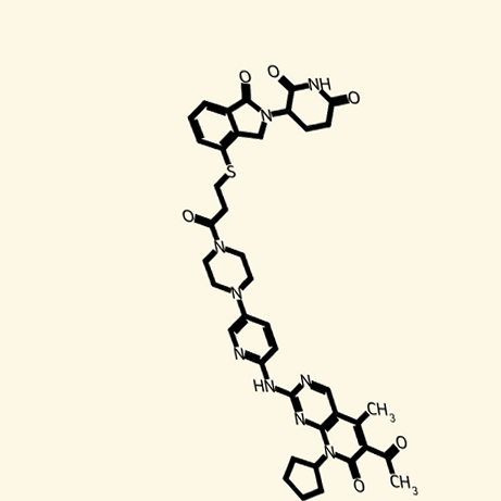 CC(=O)c1c(C)c2cnc(Nc3ccc(N4CCN(C(=O)CCSc5cccc6c5CN(C5CCC(=O)NC5=O)C6=O)CC4)cn3)nc2n(C2CCCC2)c1=O